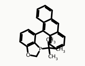 CC(C)(C)P1COc2cccc(-c3c4ccccc4cc4ccccc34)c21